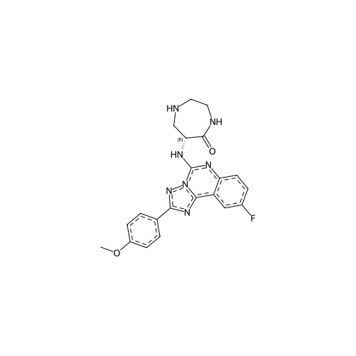 COc1ccc(-c2nc3c4cc(F)ccc4nc(N[C@@H]4CNCCNC4=O)n3n2)cc1